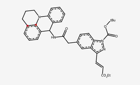 CCOC(=O)C=Cc1nn(C(=O)OC(C)(C)C)c2ccc(CC(=O)NC(c3ccccc3)c3ccccc3N3CCCCC3)cc12